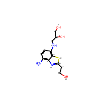 Nc1ccc(NCC(O)CO)c2sc(CCO)nc12